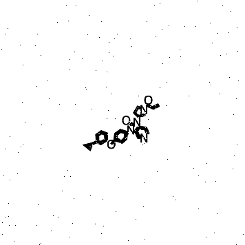 C=CC(=O)N1CC[C@@H](n2c(=O)n(-c3ccc(Oc4cccc(C5CC5)c4)cc3)c3cnccc32)C1